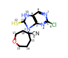 N#CC1(N2c3nc(Cl)ncc3NC2S)CCCOCC1